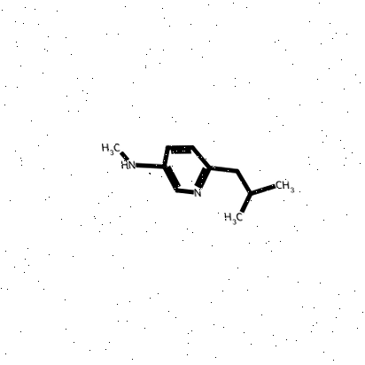 CNc1ccc(CC(C)C)nc1